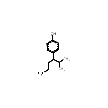 CCCC(c1ccc(O)cc1)C(C)C